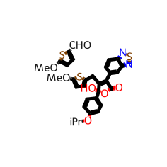 COc1ccc(C=O)s1.COc1ccc(CC2=C(c3ccc4nsnc4c3)C(=O)OC2(O)c2ccc(OC(C)C)cc2)s1